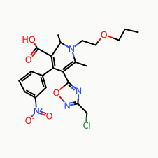 CCCOCCN1C(C)=C(c2nc(CCl)no2)C(c2cccc([N+](=O)[O-])c2)=C(C(=O)O)C1C